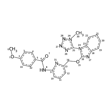 COc1ccc(C(=O)Nc2cccc(COc3nc4ccccc4n3-c3nnnn3C)n2)cc1